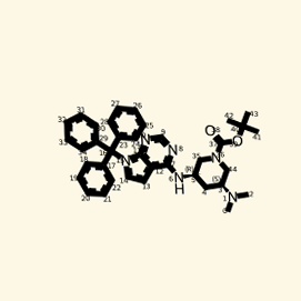 CN(C)[C@H]1C[C@@H](Nc2ncnc3c2ccn3C(c2ccccc2)(c2ccccc2)c2ccccc2)CN(C(=O)OC(C)(C)C)C1